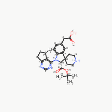 C[C@@H]1CCc2ncnc(N3c4ccc(CC(=O)O)cc4C4(CCNCC4)[C@@H]3C(=O)OC(C)(C)C)c21